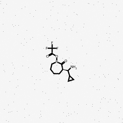 NC(C1CC1)[C@H]1CCCCN(OC(=O)C(F)(F)F)C1=O